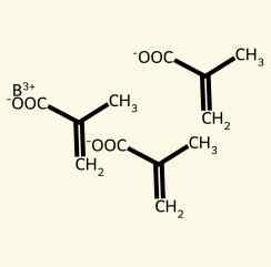 C=C(C)C(=O)[O-].C=C(C)C(=O)[O-].C=C(C)C(=O)[O-].[B+3]